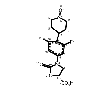 O=C(O)[C@H]1CN(c2cc(F)c(C3CC[S+]([O-])CC3)c(F)c2)C(=O)O1